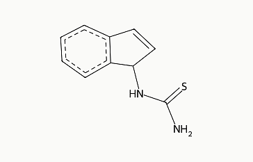 NC(=S)NC1C=Cc2ccccc21